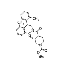 Cc1ccccc1C(CN(C)C(=O)C1CCN(C(=O)OC(C)(C)C)CC1)c1ncccc1C